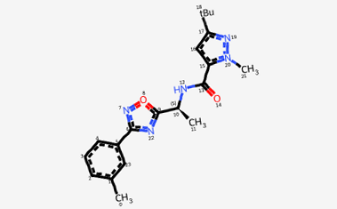 Cc1cccc(-c2noc([C@H](C)NC(=O)c3cc(C(C)(C)C)nn3C)n2)c1